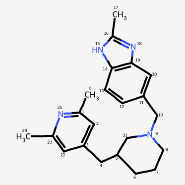 Cc1cc(CC2CCCN(Cc3ccc4[nH]c(C)nc4c3)C2)cc(C)n1